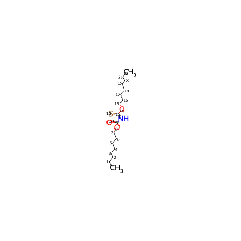 CCCCCCCCOC(=O)NC(=S)OCCCCCCCC